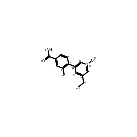 Cc1cc(C(N)=O)ccc1-c1cc(CCl)c[n+]([O-])c1